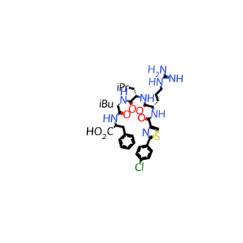 CC[C@H](C)[C@H](NC(=O)[C@H](CC(C)C)NC(=O)[C@H](CCCNC(=N)N)NC(=O)c1csc(-c2ccc(Cl)cc2)n1)C(=O)N[C@@H](Cc1ccccc1)C(=O)O